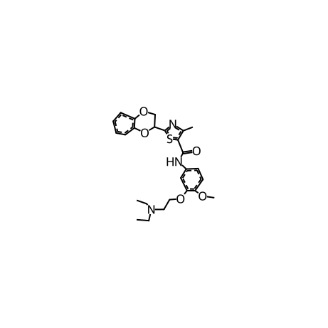 CCN(CC)CCOc1cc(NC(=O)c2sc(C3COc4ccccc4O3)nc2C)ccc1OC